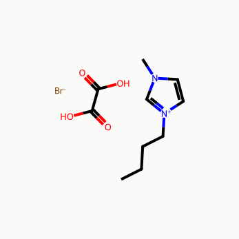 CCCC[n+]1ccn(C)c1.O=C(O)C(=O)O.[Br-]